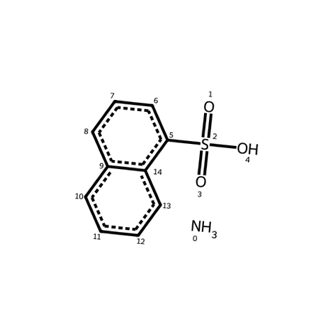 N.O=S(=O)(O)c1cccc2ccccc12